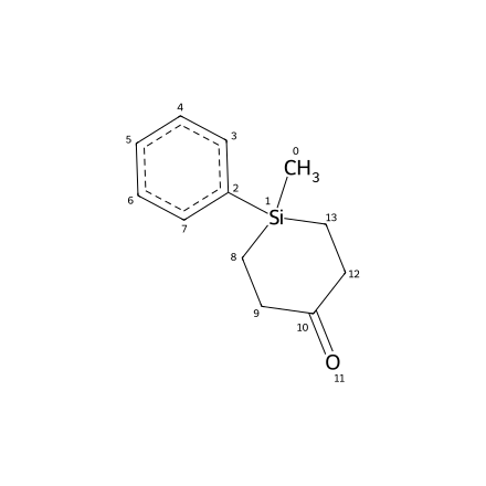 C[Si]1(c2ccccc2)CCC(=O)CC1